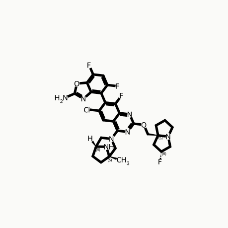 C[C@]12CC[C@H](CN(c3nc(OC[C@@]45CCCN4C[C@H](F)C5)nc4c(F)c(-c5c(F)cc(F)c6oc(N)nc56)c(Cl)cc34)C1)N2